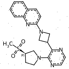 CS(=O)(=O)[C@@H]1CCN(c2nccnc2C2CN(c3ccc4ccccc4n3)C2)C1